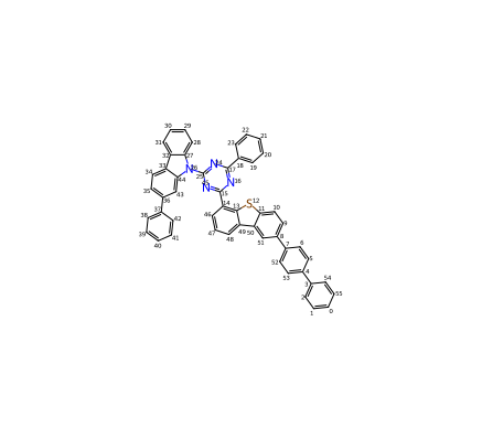 c1ccc(-c2ccc(-c3ccc4sc5c(-c6nc(-c7ccccc7)nc(-n7c8ccccc8c8ccc(-c9ccccc9)cc87)n6)cccc5c4c3)cc2)cc1